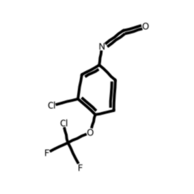 O=C=Nc1ccc(OC(F)(F)Cl)c(Cl)c1